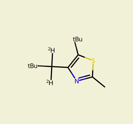 [2H]C([2H])(c1nc(C)sc1C(C)(C)C)C(C)(C)C